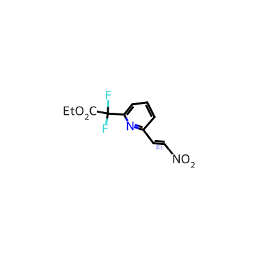 CCOC(=O)C(F)(F)c1cccc(/C=C/[N+](=O)[O-])n1